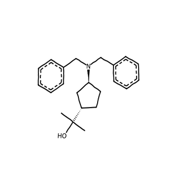 CC(C)(O)[C@H]1CC[C@H](N(Cc2ccccc2)Cc2ccccc2)C1